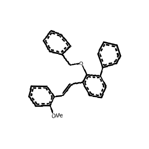 COc1ccccc1C=Cc1cccc(-c2ccccc2)c1OCc1ccccc1